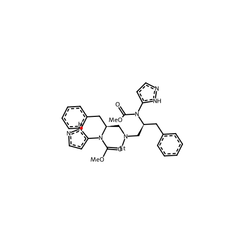 CCN(C[C@H](Cc1ccccc1)N(C(=O)OC)c1ccn[nH]1)C[C@H](Cc1ccccc1)N(C(=O)OC)c1ccn[nH]1